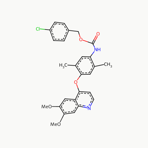 COc1cc2nccc(Oc3cc(C)c(NC(=O)OCc4ccc(Cl)cc4)cc3C)c2cc1OC